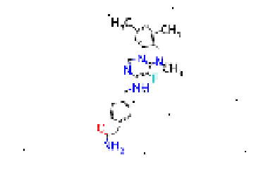 Cc1ccc(CN(C)c2ncnc(NCc3ccc(CC(N)=O)cc3)c2F)c(C)c1